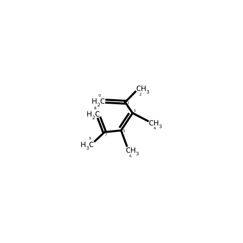 C=C(C)/C(C)=C(/C)C(=C)C